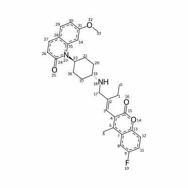 CC/C(=C\c1c(C)c2cc(F)ccc2oc1=O)CN[C@H]1CC[C@H](n2c(=O)ccc3ccc(OC)cc32)CC1